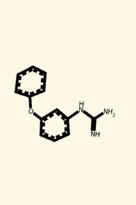 N=C(N)Nc1cccc(Oc2ccccc2)c1